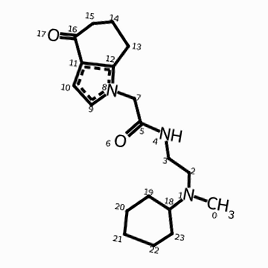 CN(CCNC(=O)Cn1ccc2c1CCCC2=O)C1CCCCC1